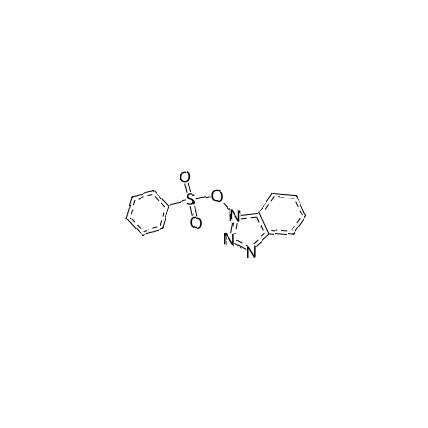 O=S(=O)(On1nnc2ccccc21)c1ccccc1